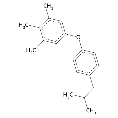 Cc1cc(Oc2ccc(CC(C)C)cc2)cc(C)c1C